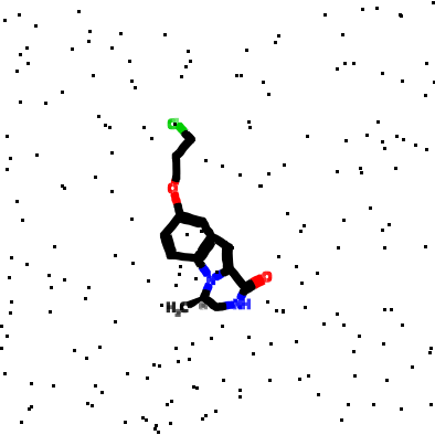 C[C@@H]1CNC(=O)c2cc3cc(OCCCCl)ccc3n21